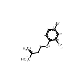 C=C(CCOc1ccc(Br)cc1Br)C(=O)O